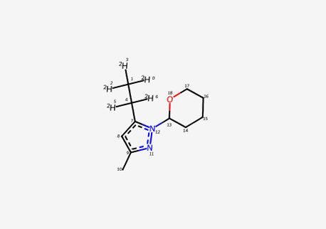 [2H]C([2H])([2H])C([2H])([2H])c1cc(C)nn1C1CCCCO1